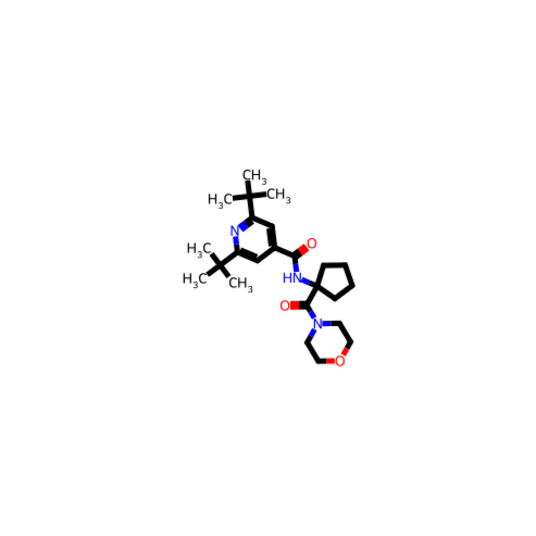 CC(C)(C)c1cc(C(=O)NC2(C(=O)N3CCOCC3)CCCC2)cc(C(C)(C)C)n1